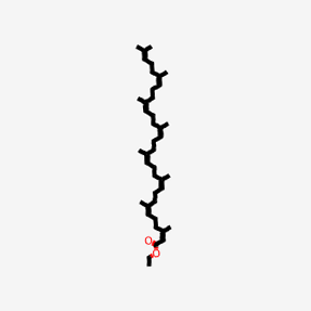 CCOC(=O)C=C(C)CCC=C(C)CCC=C(C)CCC=C(C)CCC=C(C)CCC=C(C)CCC=C(C)CCC=C(C)C